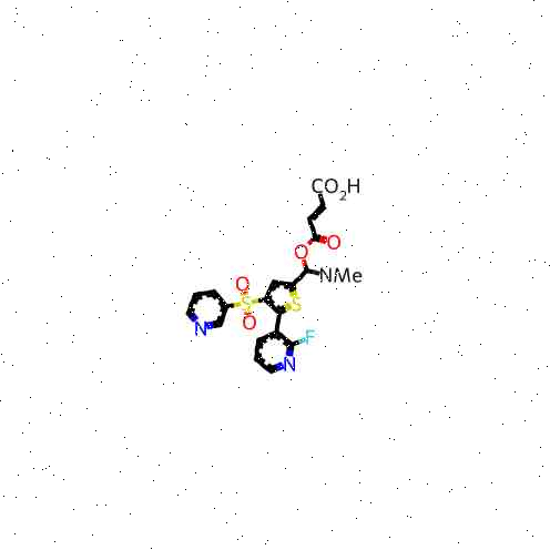 CNC(OC(=O)/C=C/C(=O)O)c1cc(S(=O)(=O)c2cccnc2)c(-c2cccnc2F)s1